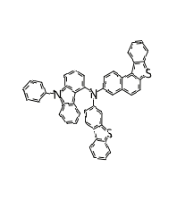 c1ccc(-n2c3ccccc3c3c(N(c4ccc5c(ccc6sc7ccccc7c65)c4)c4ccc5c(c4)sc4ccccc45)cccc32)cc1